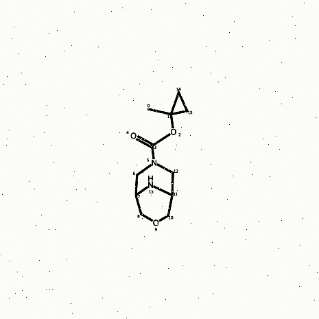 CC1(OC(=O)N2CC3COCC(C2)N3)CC1